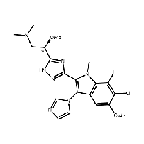 COc1cc2c(-n3ccnc3)c(-c3n[nH]c([C@@H](CN(C)C)OC)n3)n(C)c2c(F)c1Cl